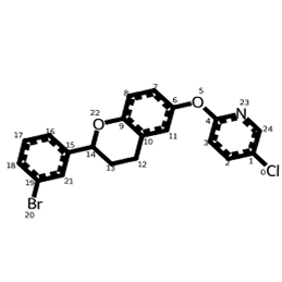 Clc1ccc(Oc2ccc3c(c2)CCC(c2cccc(Br)c2)O3)nc1